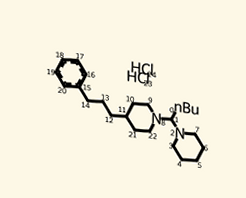 CCCCC(N1CCCCC1)N1CCC(CCCc2ccccc2)CC1.Cl.Cl